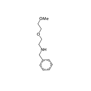 COCCOCCNCc1ccccc1